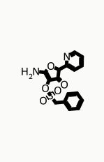 NC1=C(OS(=O)(=O)Cc2ccccc2)C(=O)C(c2ccccn2)O1